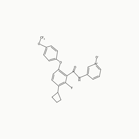 O=C(Nc1ccc[n+]([O-])c1)c1c(Oc2ccc(OC(F)(F)F)cc2)ccc(C2CCC2)c1F